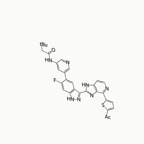 CC(=O)c1ccc(-c2nccc3[nH]c(-c4n[nH]c5cc(F)c(-c6cncc(NC(=O)CC(C)(C)C)c6)cc45)nc23)s1